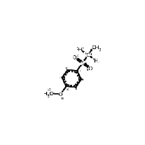 [1H][13C]([1H])(C)S(=O)(=O)c1ccc(OC)cc1